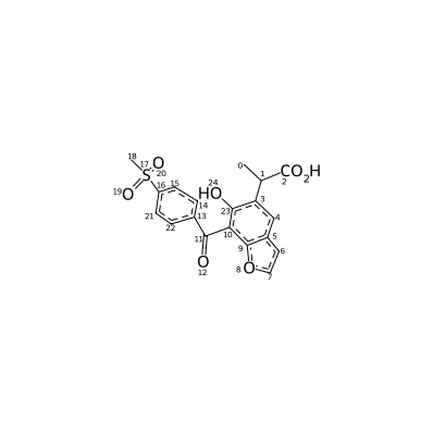 CC(C(=O)O)c1cc2ccoc2c(C(=O)c2ccc(S(C)(=O)=O)cc2)c1O